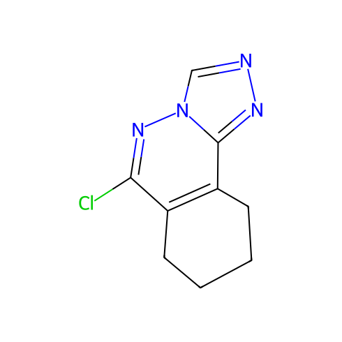 Clc1nn2cnnc2c2c1CCCC2